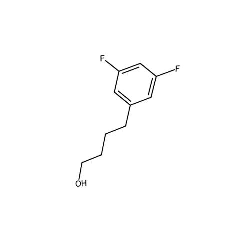 OCCCCc1cc(F)cc(F)c1